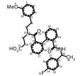 COc1cccc(CCN(CCC(=O)O)C(=O)c2ccccc2-c2ccccc2C(=O)NC(C)c2ccc(F)cc2)c1